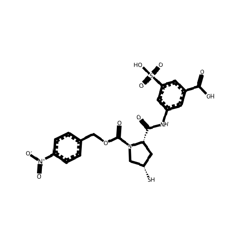 O=C(O)c1cc(NC(=O)[C@@H]2C[C@H](S)CN2C(=O)OCc2ccc([N+](=O)[O-])cc2)cc(S(=O)(=O)O)c1